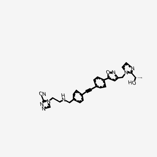 C[C@H](O)c1nccn1Cc1cc(-c2ccc(C#Cc3ccc(CNCCn4cnnc4C#N)cc3)cc2)on1